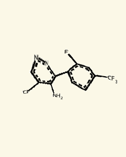 Nc1c(Cl)cnnc1-c1ccc(C(F)(F)F)cc1F